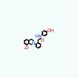 COc1cccc2c1CN(c1ccccc1CC(=O)Nc1ccc(O)cc1)CC2